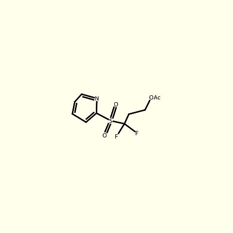 CC(=O)OCCC(F)(F)S(=O)(=O)c1ccccn1